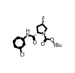 CC(C)(C)OC(=O)N1C[C@H](F)C[C@H]1C(=O)Nc1cccc(Cl)c1